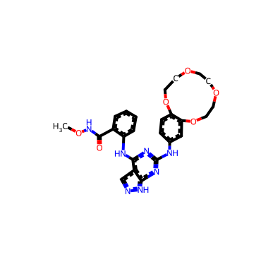 CONC(=O)c1ccccc1Nc1nc(Nc2ccc3c(c2)OCCOCCOCCO3)nc2[nH]ncc12